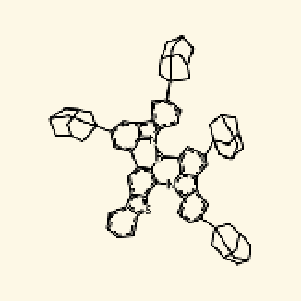 c1ccc2c(c1)sc1c3c4c(cc12)-c1cc(C25CC6CC(CC(C6)C2)C5)cc2c5cc(C67CC8CC(CC(C8)C6)C7)ccc5n(c12)B4c1cc(C24CC5CC(CC(C5)C2)C4)cc2c4cc(C56CC7CC(CC(C7)C5)C6)ccc4n-3c12